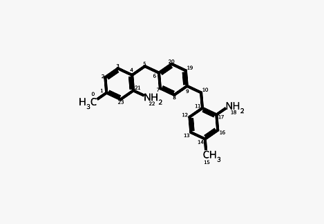 Cc1ccc(Cc2ccc(Cc3ccc(C)cc3N)cc2)c(N)c1